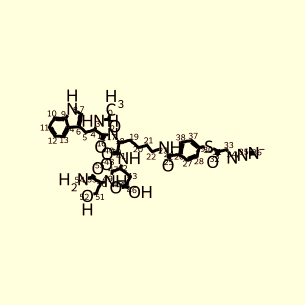 CC(=O)NC(Cc1c[nH]c2ccccc12)C(=O)NC(CCCCNC(=O)c1ccc(SC(=O)CN=[N+]=[N-])cc1)C(=O)NC(CC(=O)O)C(=O)NC(CO)C(N)=O